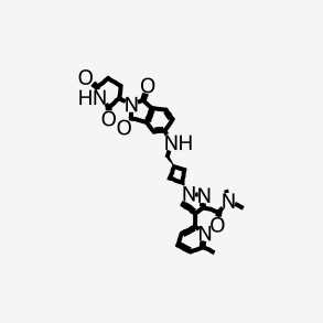 Cc1cccc(-c2cn([C@H]3C[C@H](CNc4ccc5c(c4)C(=O)N(C4CCC(=O)NC4=O)C5=O)C3)nc2C(=O)N(C)C)n1